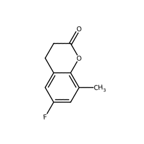 Cc1cc(F)cc2c1OC(=O)CC2